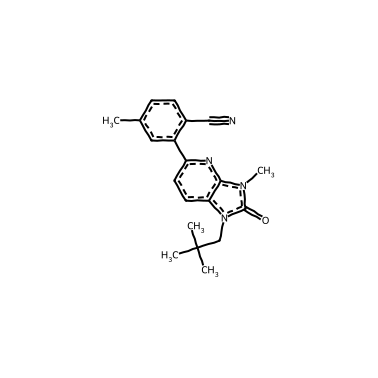 Cc1ccc(C#N)c(-c2ccc3c(n2)n(C)c(=O)n3CC(C)(C)C)c1